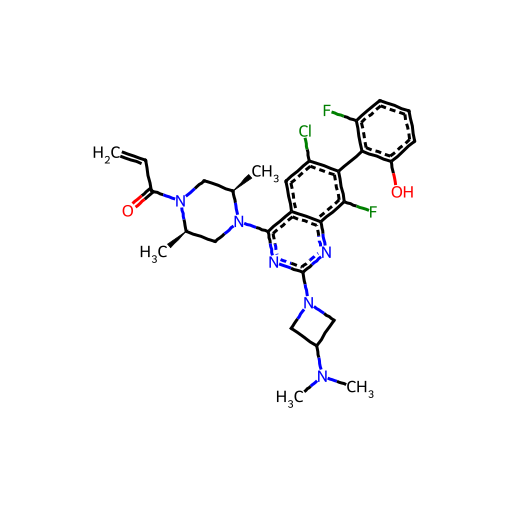 C=CC(=O)N1C[C@@H](C)N(c2nc(N3CC(N(C)C)C3)nc3c(F)c(-c4c(O)cccc4F)c(Cl)cc23)C[C@H]1C